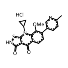 COc1c(-c2ccc(C)nc2)ccc2c(=O)c3c(=O)[nH]sc3n(C3CC3)c12.Cl